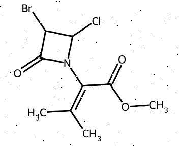 COC(=O)C(=C(C)C)N1C(=O)C(Br)C1Cl